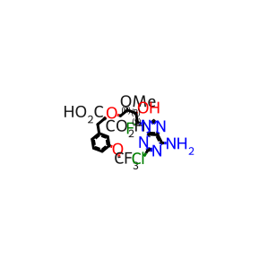 CO[C@H](COC(Cc1cccc(OC(F)(F)F)c1)(C(=O)O)C(=O)O)[C@@H](O)[C@H](F)n1cnc2c(N)nc(Cl)nc21